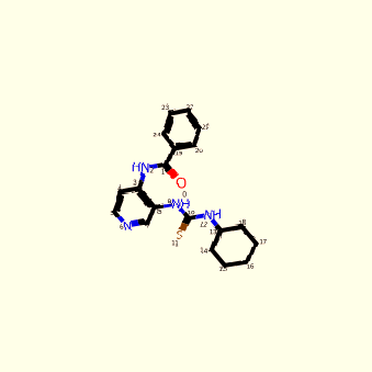 O=C(Nc1ccncc1NC(=S)NC1CCCCC1)c1ccccc1